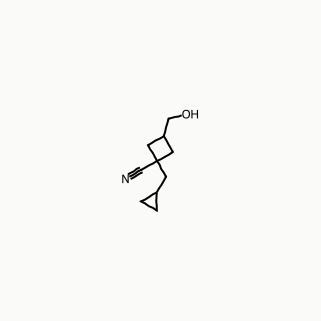 N#CC1(CC2CC2)CC(CO)C1